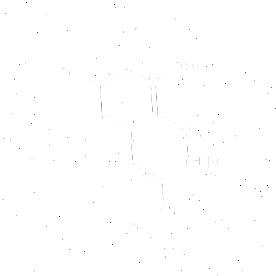 CCCCCCCOc1c(C(C)=CC#N)cc(C(C)(C)C)cc1C(C)(C)C